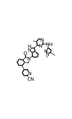 Cc1cnc(Nc2cc(C)n(C)n2)nc1-c1c[nH]c2c(N3Cc4c(cccc4-c4ccc(C#N)nc4)C3=O)cccc12